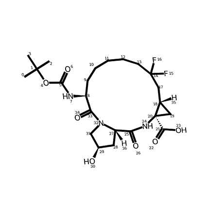 CC(C)(C)OC(=O)N[C@H]1CCCCCC(F)(F)C[C@@H]2C[C@@]2(C(=O)O)NC(=O)[C@@H]2C[C@@H](O)CN2C1=O